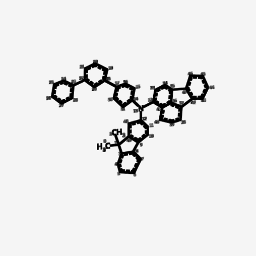 CC1(C)c2ccccc2-c2ccc(N(c3ccc(-c4cccc(-c5ccccc5)c4)cc3)c3ccc4c5c(cccc35)-c3ccccc3-4)cc21